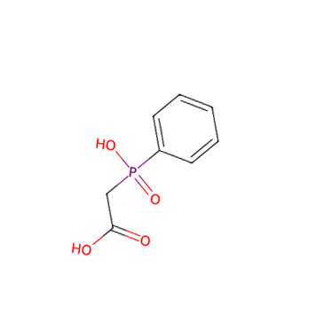 O=C(O)CP(=O)(O)c1ccccc1